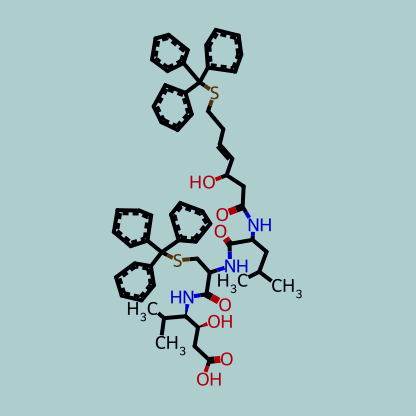 CC(C)CC(NC(=O)CC(O)C=CCCSC(c1ccccc1)(c1ccccc1)c1ccccc1)C(=O)NC(CSC(c1ccccc1)(c1ccccc1)c1ccccc1)C(=O)N[C@H](C(C)C)[C@@H](O)CC(=O)O